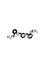 COc1ccccc1OCC1CCCN(Cc2nccnc2OC)C1